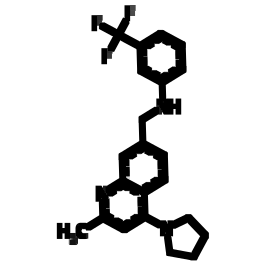 Cc1cc(N2CCCC2)c2ccc(CNc3cccc(C(F)(F)F)c3)cc2n1